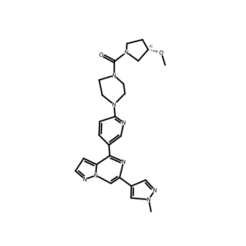 CO[C@H]1CCN(C(=O)N2CCN(c3ccc(-c4nc(-c5cnn(C)c5)cn5nccc45)cn3)CC2)C1